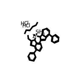 CCC1=Cc2c(-c3ccccc3)cccc2[CH]1[Zr]([CH3])([SiH3])[CH]1C(C)=Cc2c(-c3ccccc3)cccc21.CCCCCC.Cl.Cl